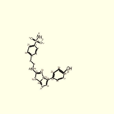 NS(=O)(=O)c1ccc(CCNc2nn3c(-c4ccc(O)cc4)cnc3s2)cc1